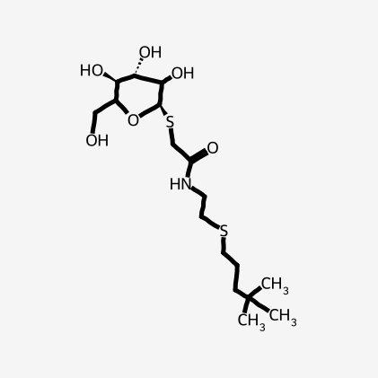 CC(C)(C)CCCSCCNC(=O)CS[C@H]1OC(CO)[C@@H](O)[C@H](O)C1O